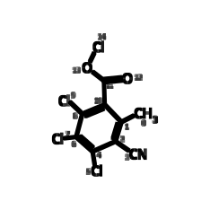 Cc1c(C#N)c(Cl)c(Cl)c(Cl)c1C(=O)OCl